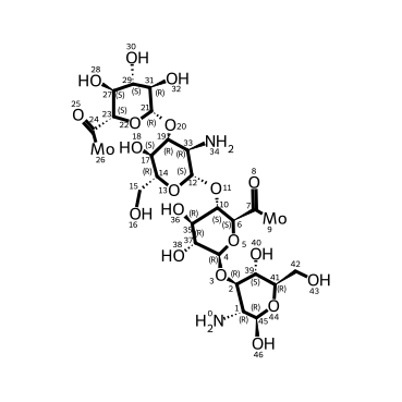 N[C@@H]1[C@@H](O[C@@H]2O[C@H]([C](=O)[Mo])[C@@H](O[C@@H]3O[C@H](CO)[C@@H](O)[C@H](O[C@@H]4O[C@H]([C](=O)[Mo])[C@@H](O)[C@H](O)[C@H]4O)[C@H]3N)[C@H](O)[C@H]2O)[C@H](O)[C@@H](CO)O[C@H]1O